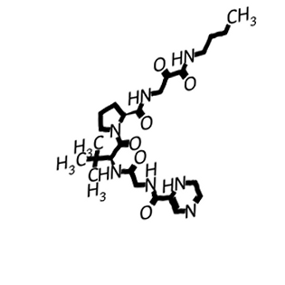 CCCCNC(=O)C(=O)CNC(=O)[C@@H]1CCCN1C(=O)[C@@H](NC(=O)CNC(=O)C1=CN=CCN1)C(C)(C)C